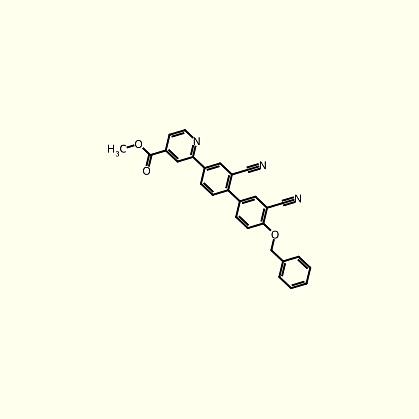 COC(=O)c1ccnc(-c2ccc(-c3ccc(OCc4ccccc4)c(C#N)c3)c(C#N)c2)c1